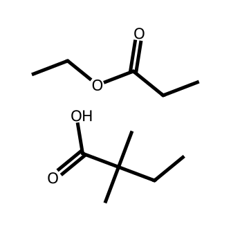 CCC(C)(C)C(=O)O.CCOC(=O)CC